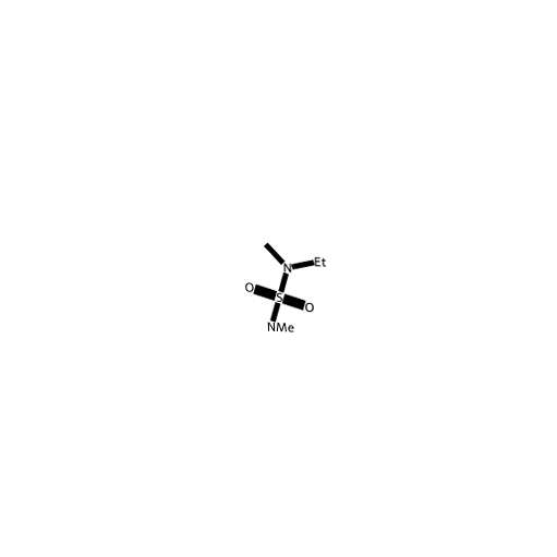 CCN(C)S(=O)(=O)NC